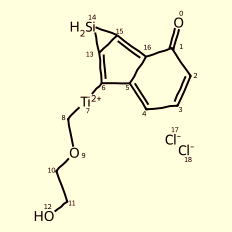 O=C1C=CC=C2[C]([Ti+2][CH2]OCCO)=C3[SiH2]C3=C12.[Cl-].[Cl-]